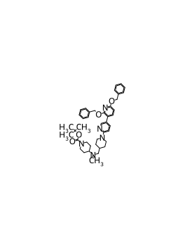 CN(CC1CCN(c2ccc(-c3ccc(OCc4ccccc4)nc3OCc3ccccc3)cn2)CC1)C1CCN(C(=O)OC(C)(C)C)CC1